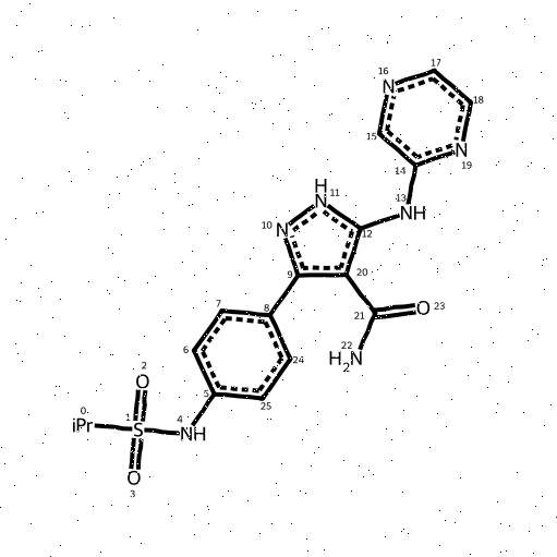 CC(C)S(=O)(=O)Nc1ccc(-c2n[nH]c(Nc3cnccn3)c2C(N)=O)cc1